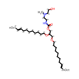 CCCCCCCCC=CCCCCCCCCOCC(COC(=O)NCCN(C)CCO)OCCCCCCCCC=CCCCCCCCC